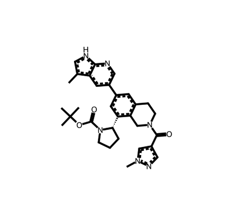 Cc1c[nH]c2ncc(-c3cc4c(c([C@@H]5CCCN5C(=O)OC(C)(C)C)c3)CN(C(=O)c3cnn(C)c3)CC4)cc12